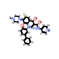 CN1CCN(c2c(F)cc3c(=O)c(C(=O)Nc4ccncc4)cn4c3c2Oc2ccc(-c3ccccc3)cc2-4)CC1